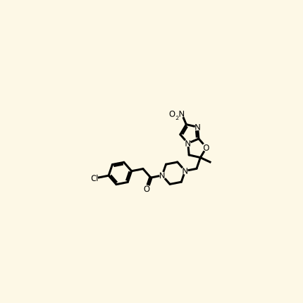 CC1(CN2CCN(C(=O)Cc3ccc(Cl)cc3)CC2)Cn2cc([N+](=O)[O-])nc2O1